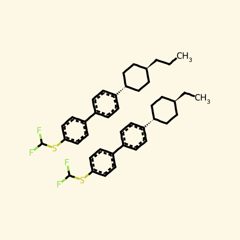 CCC[C@H]1CC[C@H](c2ccc(-c3ccc(SC(F)F)cc3)cc2)CC1.CC[C@H]1CC[C@H](c2ccc(-c3ccc(SC(F)F)cc3)cc2)CC1